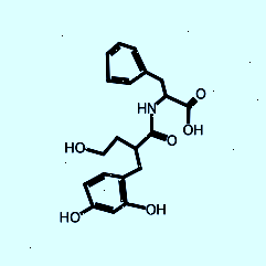 O=C(NC(Cc1ccccc1)C(=O)O)C(CCO)Cc1ccc(O)cc1O